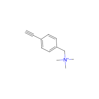 C#Cc1ccc(C[N+](C)(C)C)cc1